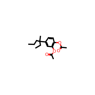 CCCC(C)(CC)c1ccc(OC(C)=O)c(OC(C)=O)c1